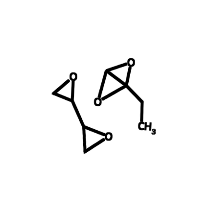 C1OC1C1CO1.CCC12OC1O2